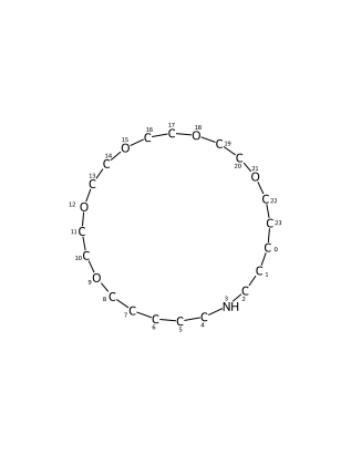 C1CCNCCCCCOCCOCCOCCOCCOCC1